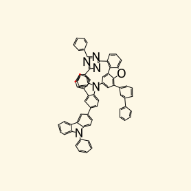 c1ccc(-c2cccc(-c3cc(-n4c5ccccc5c5cc(-c6ccc7c(c6)c6ccccc6n7-c6ccccc6)ccc54)cc4c3oc3cccc(-c5nc(-c6ccccc6)nc(-c6ccccc6)n5)c34)c2)cc1